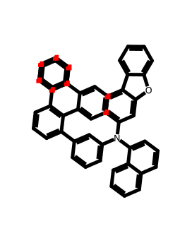 c1ccc(-c2ccccc2-c2c(-c3ccccc3)cccc2-c2cccc(N(c3ccc4c(c3)oc3ccccc34)c3cccc4ccccc34)c2)cc1